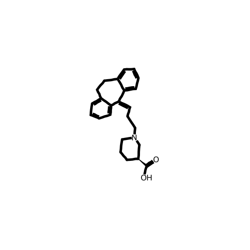 O=C(O)[C@H]1CCCN(CCC=C2c3ccccc3CCc3ccccc32)C1